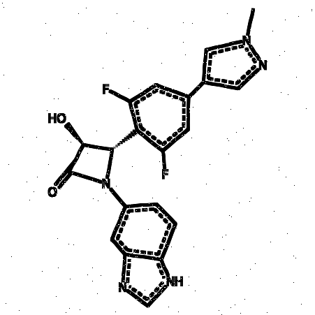 Cn1cc(-c2cc(F)c([C@H]3[C@H](O)C(=O)N3c3ccc4[nH]cnc4c3)c(F)c2)cn1